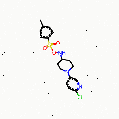 Cc1ccc(S(=O)(=O)ONC2CCN(c3ccc(Cl)nc3)CC2)cc1